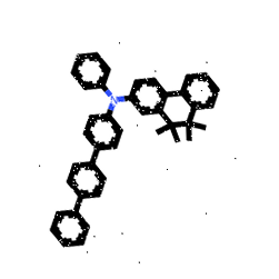 CC1(C)c2ccccc2-c2ccc(N(c3ccccc3)c3ccc(-c4ccc(-c5ccccc5)cc4)cc3)cc2C1(C)C